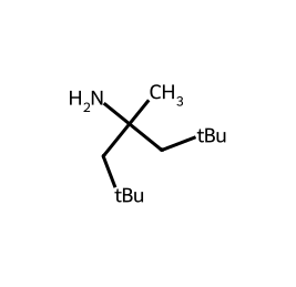 CC(C)(C)CC(C)(N)CC(C)(C)C